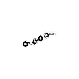 CCCCCCCC[C@H]1CO[C@H](c2ccc(-c3ncc(OCc4ccccc4)cn3)cc2)OC1